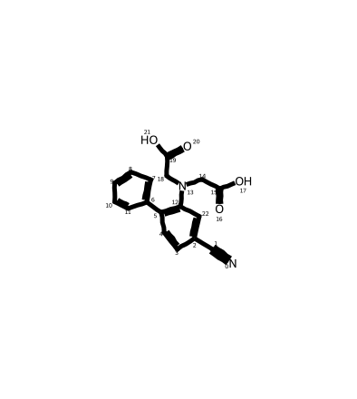 N#Cc1ccc(-c2ccccc2)c(N(CC(=O)O)CC(=O)O)c1